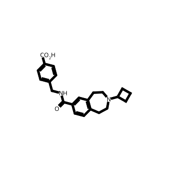 O=C(O)c1ccc(CNC(=O)c2ccc3c(c2)CCN(C2CCC2)CC3)cc1